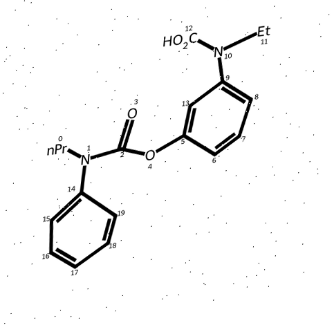 CCCN(C(=O)Oc1cccc(N(CC)C(=O)O)c1)c1ccccc1